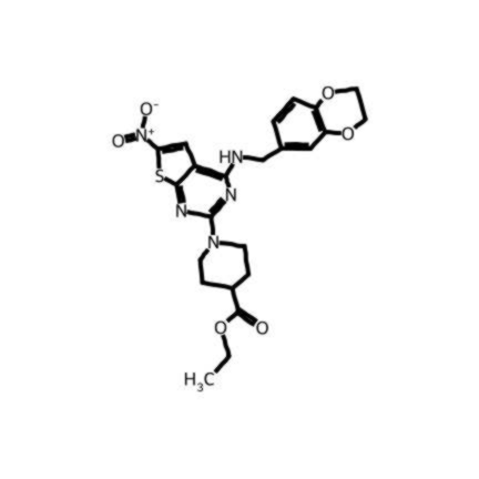 CCOC(=O)C1CCN(c2nc(NCc3ccc4c(c3)OCCO4)c3cc([N+](=O)[O-])sc3n2)CC1